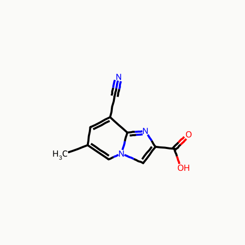 Cc1cc(C#N)c2nc(C(=O)O)cn2c1